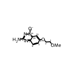 COCCOc1ccc2nc(N)n[n+]([O-])c2c1